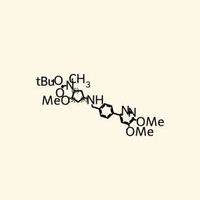 COc1cc(-c2ccc(CN[C@H]3C[C@H](OC)[C@@H](N(C)C(=O)OC(C)(C)C)C3)cc2)nnc1OC